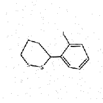 Ic1ccccc1C1CCCSS1